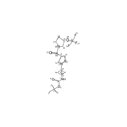 CC(C)(C)OC(=O)NC12CC(n3cc(C(=O)N4CC[C@H](OC(F)(F)F)C4)cn3)(C1)C2